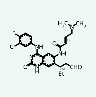 CC[C@@H](CC=O)c1cc2[nH]c(=O)nc(Nc3ccc(F)c(Cl)c3)c2cc1NC(=O)/C=C/CN(C)C